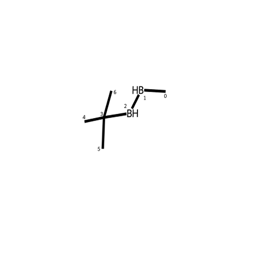 CBBC(C)(C)C